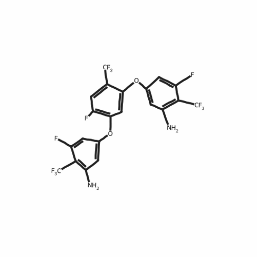 Nc1cc(Oc2cc(Oc3cc(N)c(C(F)(F)F)c(F)c3)c(C(F)(F)F)cc2F)cc(F)c1C(F)(F)F